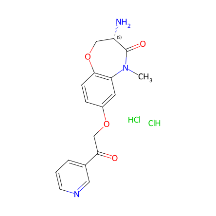 CN1C(=O)[C@@H](N)COc2ccc(OCC(=O)c3cccnc3)cc21.Cl.Cl